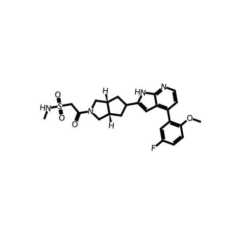 CNS(=O)(=O)CC(=O)N1C[C@H]2CC(c3cc4c(-c5cc(F)ccc5OC)ccnc4[nH]3)C[C@H]2C1